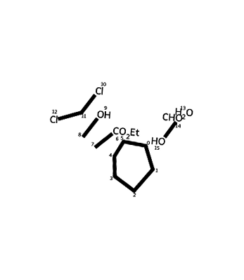 C1CCCCC1.CCOC(C)=O.CO.ClCCl.O.O=CO